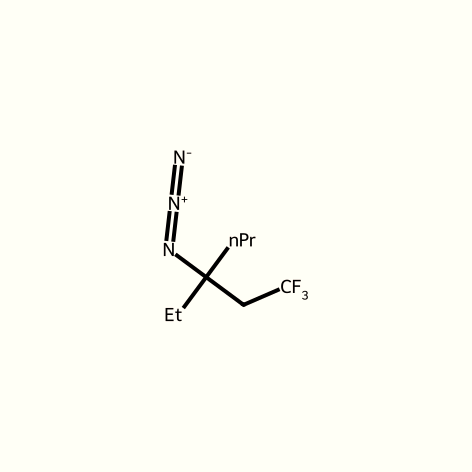 [CH2]CC(CCC)(CC(F)(F)F)N=[N+]=[N-]